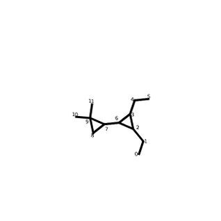 CCC1C(CC)C1C1CC1(C)C